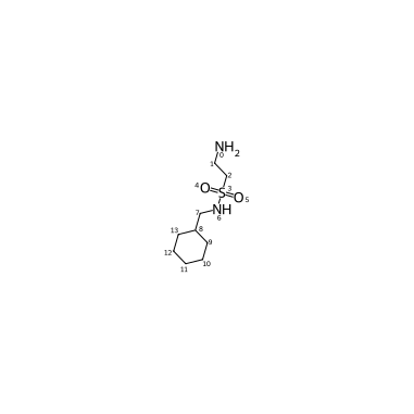 NCCS(=O)(=O)NCC1CCCCC1